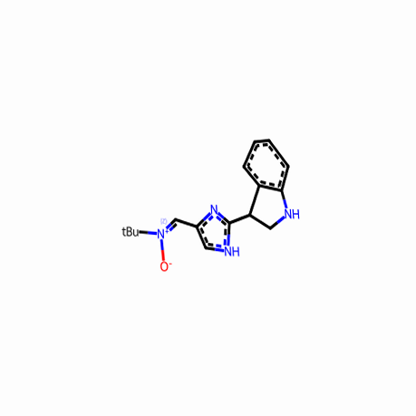 CC(C)(C)/[N+]([O-])=C/c1c[nH]c(C2CNc3ccccc32)n1